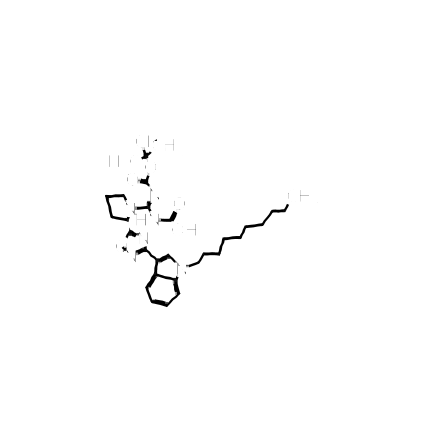 CCCCCCCCCCn1cc(-c2noc([C@@H]3CCCN3/C(=N\C(=O)OC(C)(C)C)NC(=O)O)n2)c2ccccc21